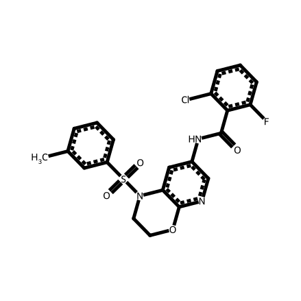 Cc1cccc(S(=O)(=O)N2CCOc3ncc(NC(=O)c4c(F)cccc4Cl)cc32)c1